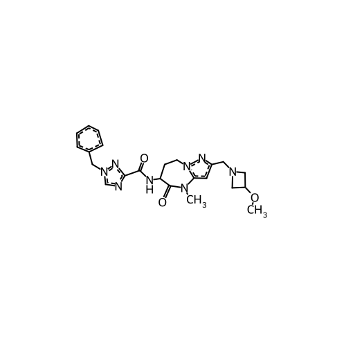 COC1CN(Cc2cc3n(n2)CCC(NC(=O)c2ncn(Cc4ccccc4)n2)C(=O)N3C)C1